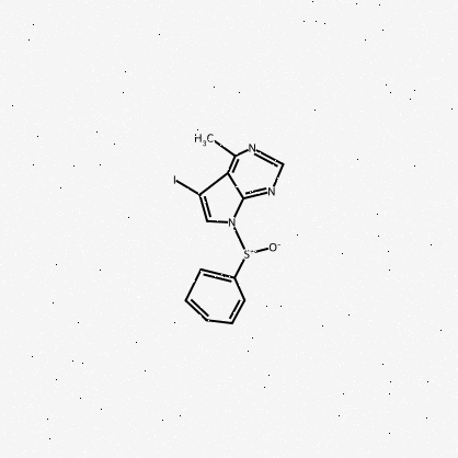 Cc1ncnc2c1c(I)cn2[S+]([O-])c1ccccc1